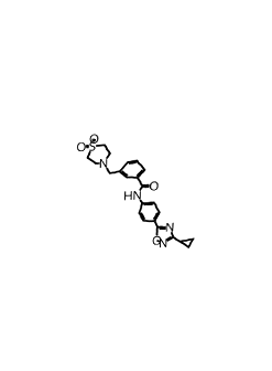 O=C(Nc1ccc(-c2nc(C3CC3)no2)cc1)c1cccc(CN2CCS(=O)(=O)CC2)c1